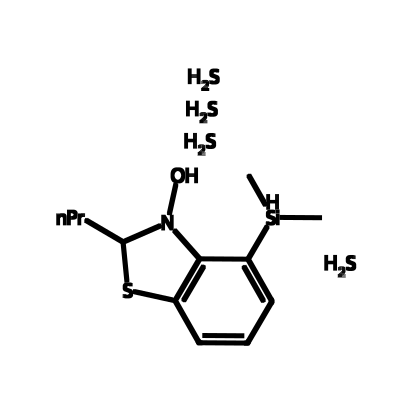 CCCC1Sc2cccc([SiH](C)C)c2N1O.S.S.S.S